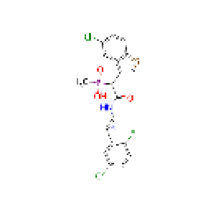 CP(=O)(O)C(C(=O)N/C=C/c1cc(Cl)ccc1F)c1csc2ccc(Cl)cc12